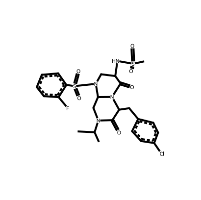 CC(C)N1CC2N(C(=O)C(NS(C)(=O)=O)CN2S(=O)(=O)c2ccccc2F)C(Cc2ccc(Cl)cc2)C1=O